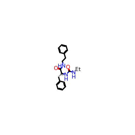 CCNC(=O)N[C@H](Cc1ccccc1)C(=O)NCCc1ccccc1